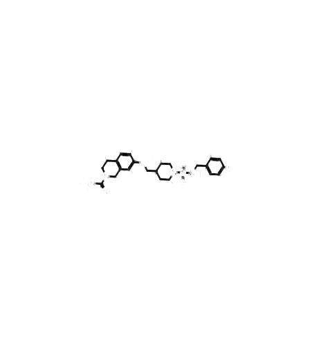 N=C(N)N1CCc2ccc(OCC3CCN(S(=O)(=O)NCc4ccccc4)CC3)cc2C1